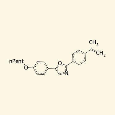 C=C(C)c1ccc(-c2ncc(-c3ccc(OCCCCC)cc3)o2)cc1